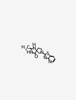 C=C1NC(=O)C2(CCN(c3nc4ncccc4s3)C2)N1